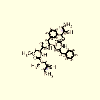 COC[C@H](NC(=O)N(C)C/C(S)=C/N)C(=O)N[C@H](CC[C@H](Cc1ccccc1)NC(=O)OC/C(S)=C/N)Cc1ccccc1